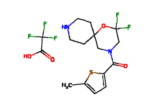 Cc1ccc(C(=O)N2CC(F)(F)OC3(CCNCC3)C2)s1.O=C(O)C(F)(F)F